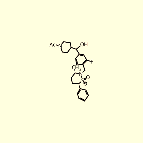 CC(=O)N1CCC(C(O)c2ccc(CN3[C@@H](C)CC[C@H](c4ccccc4)S3(=O)=O)c(F)c2)CC1